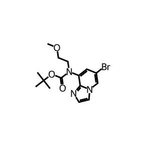 COCCN(C(=O)OC(C)(C)C)c1cc(Br)cn2ccnc12